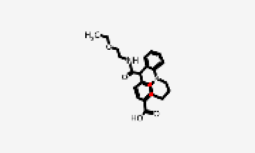 CCOCCNC(=O)C(c1ccc(C(=O)O)cc1)c1ccccc1N1CCCCC1